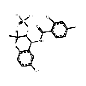 CC(=O)c1ccc2c(c1)[C@H](NC(=O)c1ccc(F)cc1Cl)[C@@H](OP(=O)(O)O)C(C)(C)O2